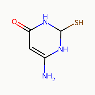 NC1=CC(=O)NC(S)N1